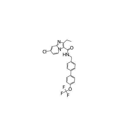 CCc1nc2cc(Cl)ccn2c1C(=O)NCc1ccc(-c2ccc(OC(F)(F)F)cc2)cc1